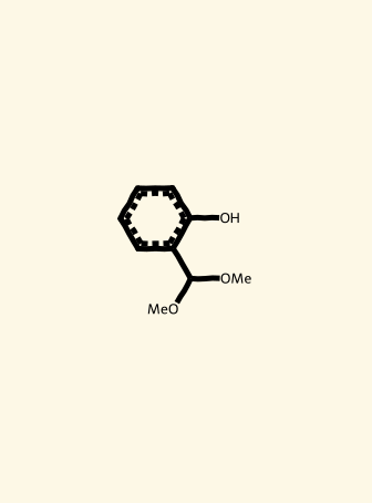 COC(OC)c1ccccc1O